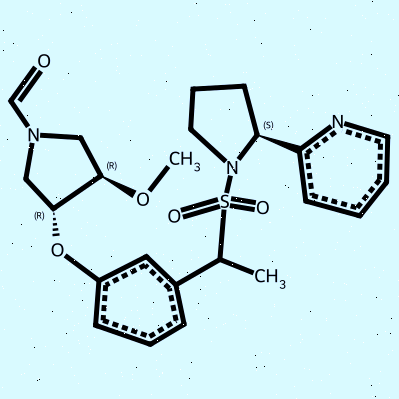 CO[C@@H]1CN(C=O)C[C@H]1Oc1cccc(C(C)S(=O)(=O)N2CCC[C@H]2c2ccccn2)c1